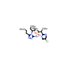 COCCc1nnc(NS(=O)(=O)C(C)C(OC)c2ncc(Cl)cn2)n1C(COC)COC